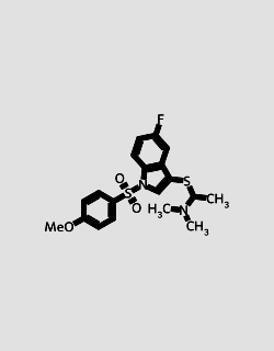 COc1ccc(S(=O)(=O)n2cc(SC(C)N(C)C)c3cc(F)ccc32)cc1